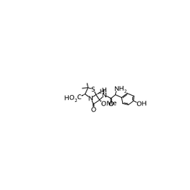 CO[C@@]1(NC(=O)C(N)c2ccc(O)cc2)C(=O)N2[C@@H](C(=O)O)C(C)(C)S[C@@H]21